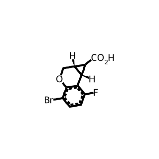 O=C(O)C1[C@H]2COc3c(Br)ccc(F)c3[C@@H]12